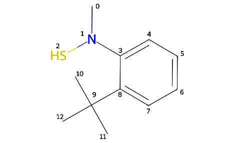 CN(S)c1ccccc1C(C)(C)C